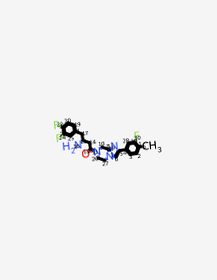 Cc1ccc(-c2cn3c(n2)CN(C(=O)C[C@H](N)Cc2ccc(F)c(F)c2)CC3)cc1F